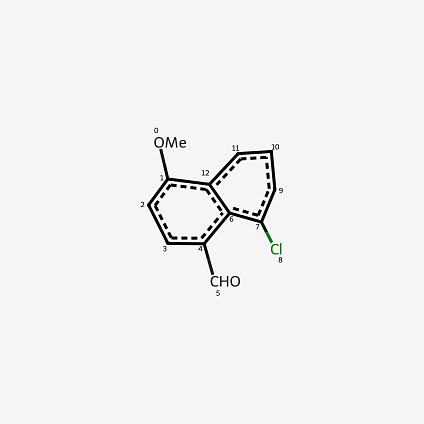 COc1ccc(C=O)c2c(Cl)cccc12